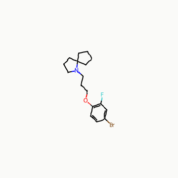 Fc1cc(Br)ccc1OCCCN1CCCC12CCCC2